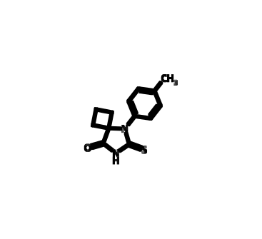 Cc1ccc(N2C(=S)NC(=O)C23CCC3)cc1